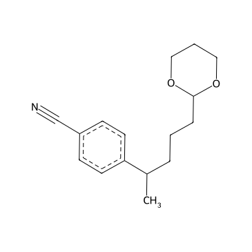 CC(CCCC1OCCCO1)c1ccc(C#N)cc1